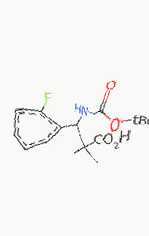 CC(C)(C)OC(=O)NC(c1ccccc1F)C(C)(C)C(=O)O